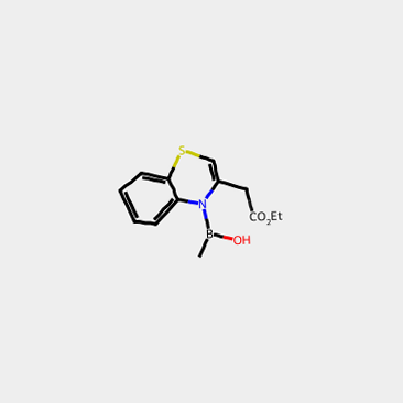 CCOC(=O)CC1=CSc2ccccc2N1B(C)O